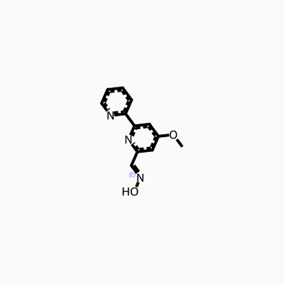 COc1cc(/C=N/O)nc(-c2ccccn2)c1